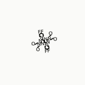 COCCN(CCOC)c1nc(N2CCC(F)(F)CC2)c2nc(N(CCOC)CCOC)nc(N3CCC(F)(F)CC3)c2n1